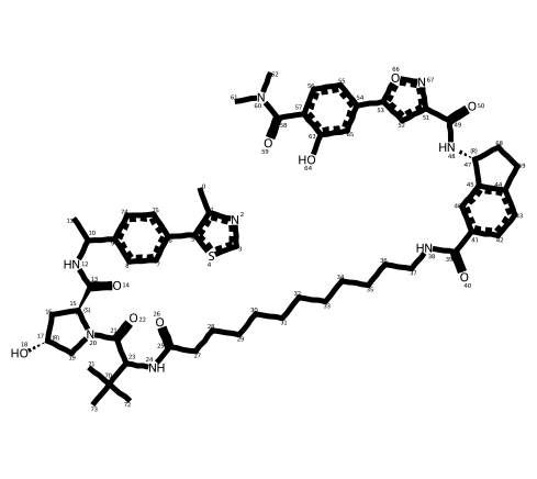 Cc1ncsc1-c1ccc(C(C)NC(=O)[C@@H]2C[C@@H](O)CN2C(=O)C(NC(=O)CCCCCCCCCCCNC(=O)c2ccc3c(c2)[C@H](NC(=O)c2cc(-c4ccc(C(=O)N(C)C)c(O)c4)on2)CC3)C(C)(C)C)cc1